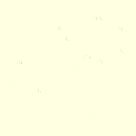 CCOc1c(C(C)N2N[C@H](c3ccn(C)n3)c3c(N)ncnc32)cc(Cl)c(C)c1-c1ccc(C(=O)N(C)C)nc1